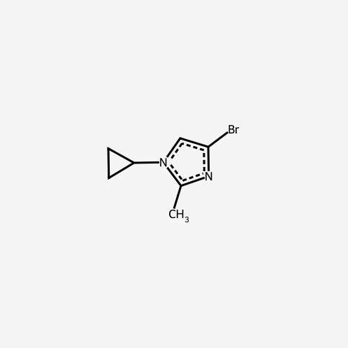 Cc1nc(Br)cn1C1CC1